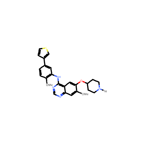 [2H]N1CCC(Oc2cc3c(Nc4cc(-c5ccsc5)ccc4OC)ncnc3cc2OC)CC1